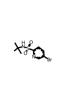 CC(C)(C)NS(=O)(=O)c1ccc(Br)cn1